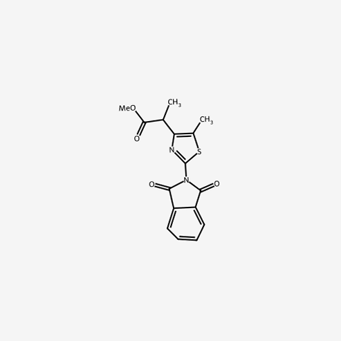 COC(=O)C(C)c1nc(N2C(=O)c3ccccc3C2=O)sc1C